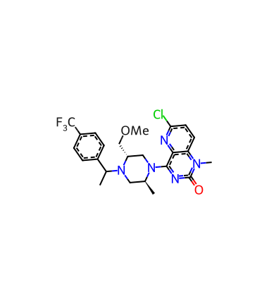 COC[C@@H]1CN(c2nc(=O)n(C)c3ccc(Cl)nc23)[C@@H](C)CN1C(C)c1ccc(C(F)(F)F)cc1